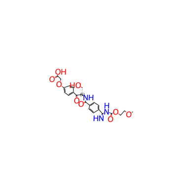 COCCOC(=O)NC(=N)c1ccc(C(=O)N[C@@H](CO)C(=O)c2ccc(OCC(=O)O)cc2)cc1